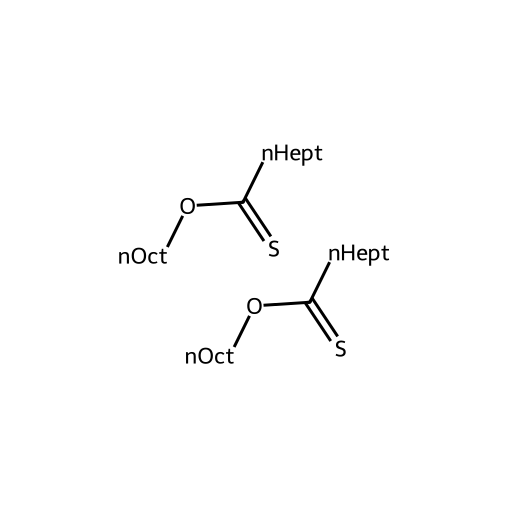 CCCCCCCCOC(=S)CCCCCCC.CCCCCCCCOC(=S)CCCCCCC